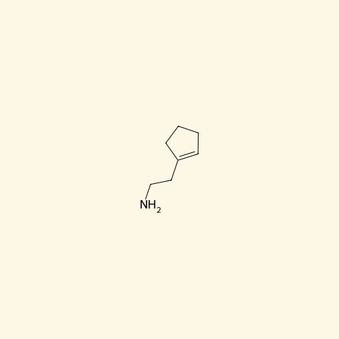 NCCC1=CCCC1